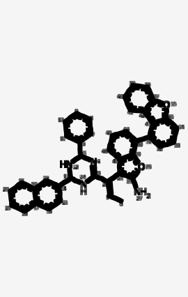 C/C=C(/C1=NC(c2ccccc2)NC(c2ccc3ccccc3c2)N1)c1c(N)oc2c(-c3cccc4oc5ccccc5c34)cccc12